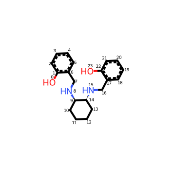 Oc1ccccc1CN[C@@H]1CCCC[C@H]1NCc1ccccc1O